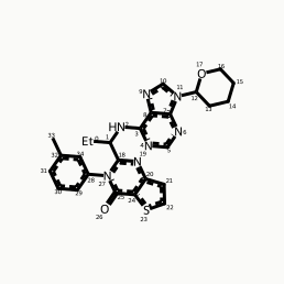 CCC(Nc1ncnc2c1ncn2C1CCCCO1)c1nc2ccsc2c(=O)n1-c1cccc(C)c1